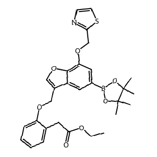 CCOC(=O)Cc1ccccc1OCc1coc2c(OCc3nccs3)cc(B3OC(C)(C)C(C)(C)O3)cc12